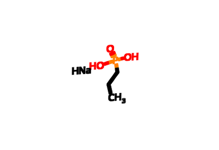 CCCP(=O)(O)O.[NaH]